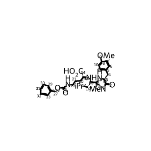 CNC(=O)[C@H](Cc1ccc(OC)cc1)NC(=O)[C@H](CC(C)C)N[C@H](CCCNC(=O)OCc1ccccc1)C(=O)O